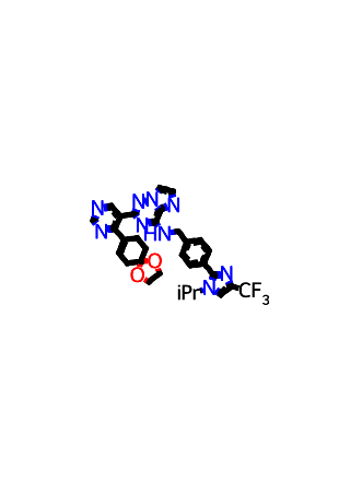 CC(C)n1cc(C(F)(F)F)nc1-c1ccc(CNc2nc(-c3cncnc3C3=CCC4(CC3)OCCO4)nn3ccnc23)cc1